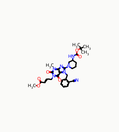 COC(=O)C=CCn1c(=O)c2c(nc(N3CCCC(NC(=O)OC(C)(C)C)C3)n2Cc2ccccc2C#N)n(C)c1=O